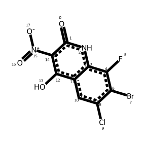 O=c1[nH]c2c(F)c(Br)c(Cl)cc2c(O)c1[N+](=O)[O-]